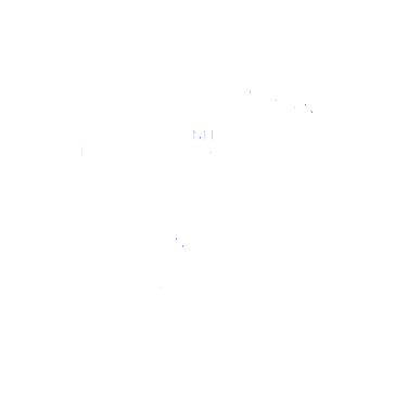 Cc1ccc(NC(=O)c2cccc(C(C)(C)C#N)c2)cc1OC1CCN(C(=O)c2cccs2)CC1